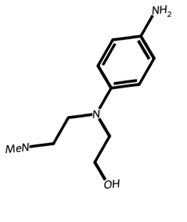 CNCCN(CCO)c1ccc(N)cc1